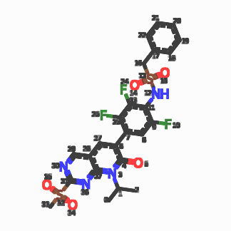 CC(C)n1c(=O)c(-c2cc(F)c(NS(=O)(=O)Cc3ccccc3)c(F)c2F)cc2cnc(S(C)(=O)=O)nc21